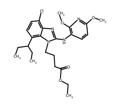 CCOC(=O)CCCn1c(Nc2ccc(OC)nc2OC)nc2c(Cl)ccc(C(CC)CC)c21